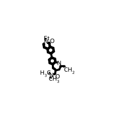 C=CC1=Nc2cc(-c3ccc4c(=O)n(CC)ccc4c3)ccc2C=C(C(=O)N(C)C)C1